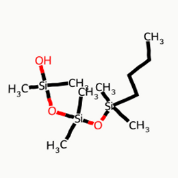 CCCC[Si](C)(C)O[Si](C)(C)O[Si](C)(C)O